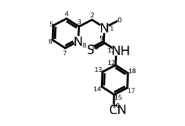 CN(Cc1ccccn1)C(=S)Nc1ccc(C#N)cc1